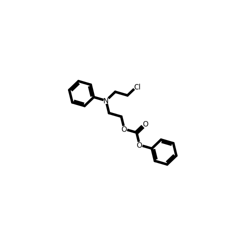 O=C(OCCN(CCCl)c1ccccc1)Oc1ccccc1